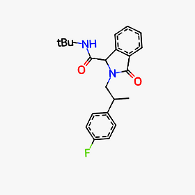 CC(CN1C(=O)c2ccccc2C1C(=O)NC(C)(C)C)c1ccc(F)cc1